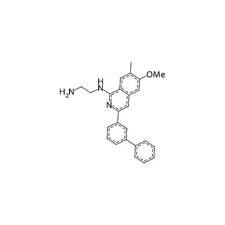 COc1cc2cc(-c3cccc(-c4ccccc4)c3)nc(NCCN)c2cc1C